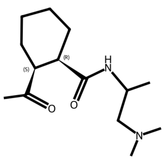 CC(=O)[C@H]1CCCC[C@H]1C(=O)NC(C)CN(C)C